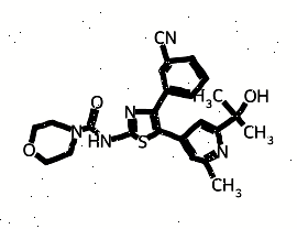 Cc1cc(-c2sc(NC(=O)N3CCOCC3)nc2-c2cccc(C#N)c2)cc(C(C)(C)O)n1